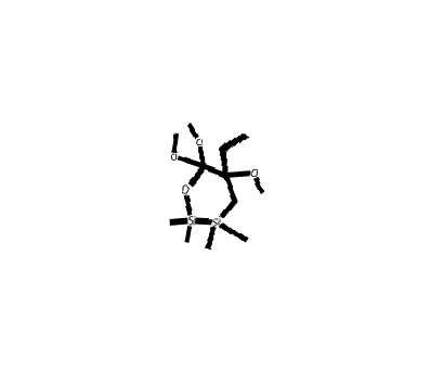 CCC1(OC)C[Si](C)(C)[Si](C)(C)OC1(OC)OC